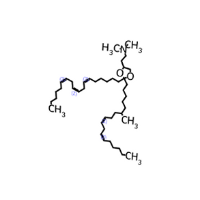 CCCCC/C=C\C/C=C\C/C=C\CCCCCC1(CCCCCC(C)CC/C=C\C/C=C\CCCCC)OCC(CCN(C)C)O1